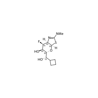 CNC1=N[C@@H]2[C@H](F)[C@H](O)[C@@H]([C@@H](O)C3CCC3)O[C@@H]2S1